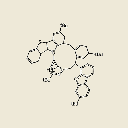 Cc1c2cc(C(C)(C)C)cc1N1C3=C(C=C(C(C)(C)C)CC3CC3=CCC(C(C)(C)C)C=C3C(c3cccc4c3oc3cc(C(C)(C)C)ccc34)C2)C2SC3=CC=CCC3C21